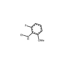 CCNc1c(F)cccc1OC